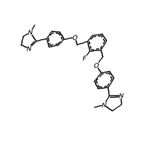 CN1CCN=C1c1ccc(OCc2cccc(COc3ccc(C4=NCCN4C)cc3)c2F)cc1